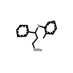 CNCCC(Sc1ccccc1C)c1ccccc1